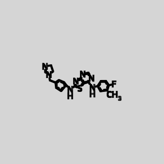 Cc1cc(Nc2ncnc3nc(Nc4ccc(CN5C=NCC5)cc4)sc23)ccc1F